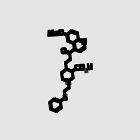 COc1ccc2nccc(C(=O)CCC3CCN(CCSc4ccccc4)CC3C(=O)O)c2c1